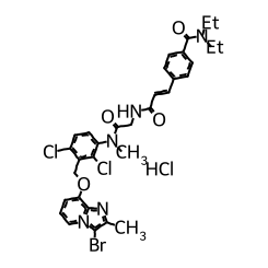 CCN(CC)C(=O)c1ccc(C=CC(=O)NCC(=O)N(C)c2ccc(Cl)c(COc3cccn4c(Br)c(C)nc34)c2Cl)cc1.Cl